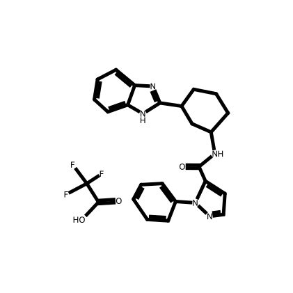 O=C(NC1CCCC(c2nc3ccccc3[nH]2)C1)c1ccnn1-c1ccccc1.O=C(O)C(F)(F)F